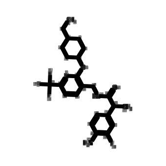 CCC1CCC(Oc2nc(C(F)(F)F)ccc2CNC(=O)C(C)c2ccc(N)c(F)c2)CC1